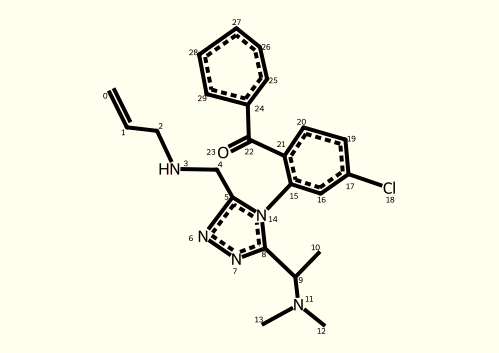 C=CCNCc1nnc(C(C)N(C)C)n1-c1cc(Cl)ccc1C(=O)c1ccccc1